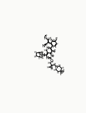 C=Nc1sc2c(F)ccc(-c3ncc4c(N5CC6CCC(C5)N6)nc(OCC5(CN6CCC(F)(F)CC6)CC5)nc4c3F)c2c1C#N